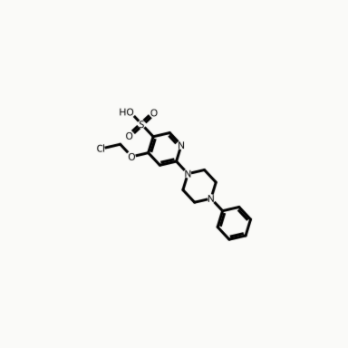 O=S(=O)(O)c1cnc(N2CCN(c3ccccc3)CC2)cc1OCCl